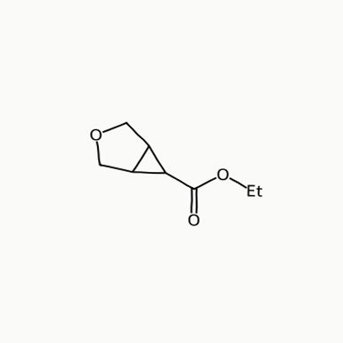 CCOC(=O)C1C2COCC21